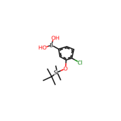 CC(C)(C)[Si](C)(C)Oc1cc(B(O)O)ccc1Cl